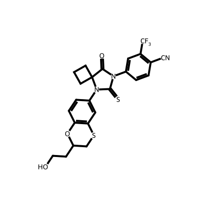 N#Cc1ccc(N2C(=O)C3(CCC3)N(c3ccc4c(c3)SCC(CCO)O4)C2=S)cc1C(F)(F)F